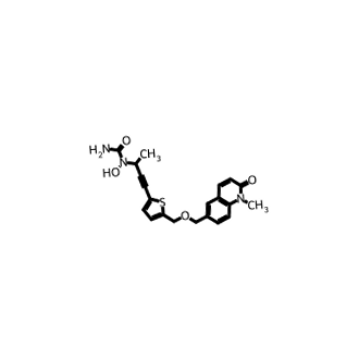 CC(C#Cc1ccc(COCc2ccc3c(ccc(=O)n3C)c2)s1)N(O)C(N)=O